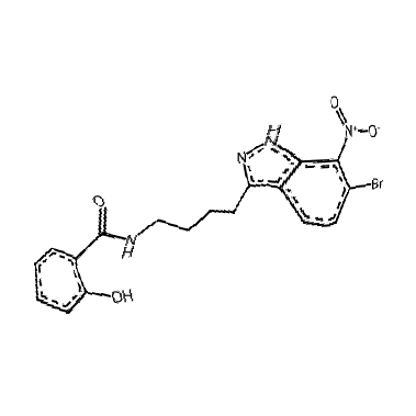 O=C(NCCCCc1n[nH]c2c([N+](=O)[O-])c(Br)ccc12)c1ccccc1O